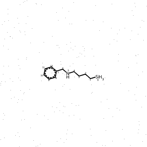 [SiH3]CCCCNCc1ccccc1